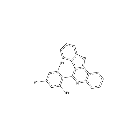 CC(C)c1cc(C(C)C)c(-c2nc3ccccc3c3nc4ccccc4n23)c(C(C)C)c1